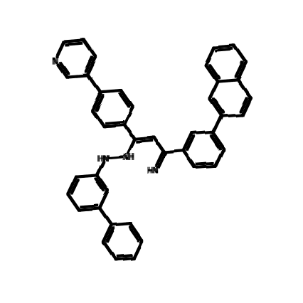 N=C(/C=C(\NNc1cccc(-c2ccccc2)c1)c1ccc(-c2cccnc2)cc1)c1cccc(-c2ccc3ccccc3c2)c1